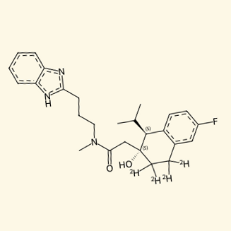 [2H]C1([2H])c2cc(F)ccc2[C@H](C(C)C)[C@](O)(CC(=O)N(C)CCCc2nc3ccccc3[nH]2)C1([2H])[2H]